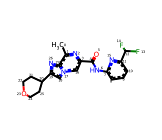 Cc1nc(C(=O)Nc2cccc(C(F)F)n2)cn2cc(C3CCOCC3)nc12